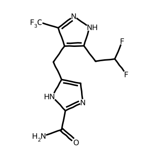 NC(=O)c1ncc(Cc2c(C(F)(F)F)n[nH]c2CC(F)F)[nH]1